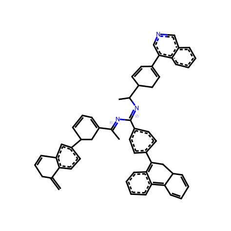 C=C1CC=Cc2cc(C3C=CC=C(/C(C)=N/C(=N\C(C)C4C=CC(c5cncc6ccccc56)=CC4)c4ccc(C5=c6ccccc6=C6C=CC=CC6C5)cc4)C3)ccc21